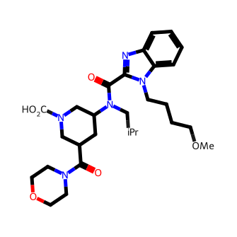 COCCCCn1c(C(=O)N(CC(C)C)C2CC(C(=O)N3CCOCC3)CN(C(=O)O)C2)nc2ccccc21